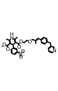 COC(=O)C1=C(C)NC(C)=C(C(=O)OCCOC/C(C)=C/c2ccc(Cc3cccnc3)cc2)C1c1cccc([N+](=O)[O-])c1